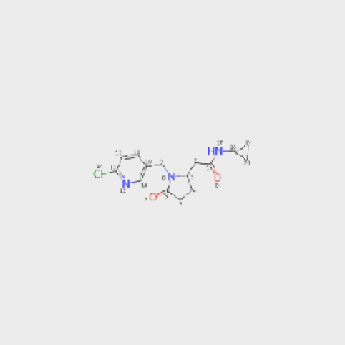 O=C(CC1CCC(=O)N1Cc1ccc(Cl)nc1)NC1CC1